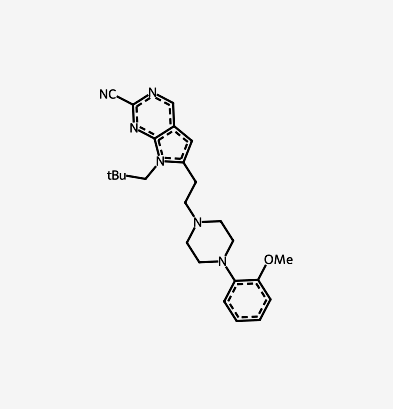 COc1ccccc1N1CCN(CCc2cc3cnc(C#N)nc3n2CC(C)(C)C)CC1